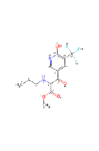 CCCNC(C(=O)OC)C(=O)c1cnc(O)c(C(F)(F)F)c1